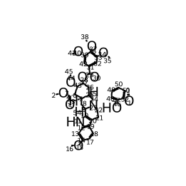 C=O.COC(=O)[C@H]1[C@H]2C[C@@H]3c4[nH]c5cc(OC)ccc5c4CCN3C[C@H]2C[C@@H](OC(=O)c2cc(OC)c(OC)c(OC)c2)[C@@H]1OC.Oc1ccccc1